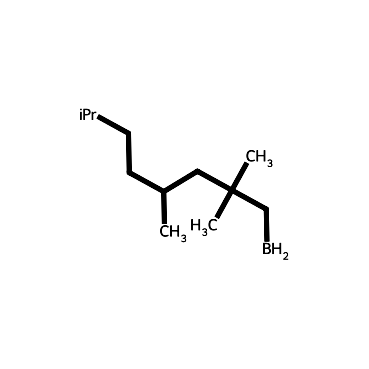 BCC(C)(C)CC(C)CCC(C)C